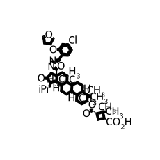 CC(C)C1=C2[C@H]3CC[C@@H]4[C@@]5(C)CC[C@H](OC(=O)[C@H]6C[C@@H](C(=O)O)C6(C)C)C(C)(C)[C@@H]5CC[C@@]4(C)[C@]3(C)CC[C@@]2(c2nnc(-c3ccc(Cl)cc3O[C@@H]3CCOC3)o2)CC1=O